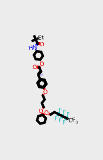 CCC(C)(C)C(=O)N[C@H]1CC[C@H](OC(=O)/C=C/c2ccc(OCCCCOC3(OCCC(F)(F)C(F)(F)C(F)(F)C(F)(F)F)CCCCC3)cc2)CC1